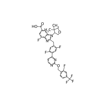 CC1(C)COCC1n1c(Cc2cc(F)c(-c3ccnc(OCc4ccc(C(F)(F)F)cc4F)n3)cc2F)nc2c(F)cc(C(=O)O)cc21